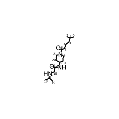 CC(C)CCCC(=O)N1CCC(NC(=O)CNC(C)C)CC1